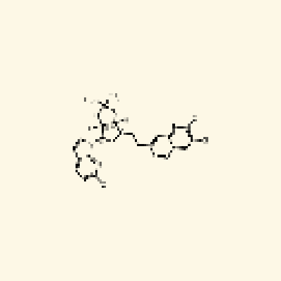 CC1(C)O[C@@H]2[C@@H](CCc3ccc4cc(Cl)c(Cl)nc4c3)C[C@@H](n3ccc4cnc(Cl)nc43)[C@@H]2O1